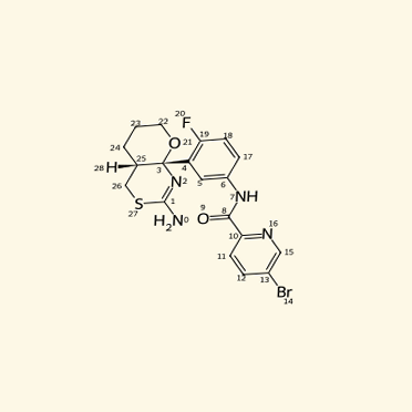 NC1=N[C@@]2(c3cc(NC(=O)c4ccc(Br)cn4)ccc3F)OCCC[C@H]2CS1